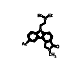 CCN(CC)CCn1c2ccc(C(C)=O)cc2c2c3c(ccc21)C(=O)N(C)C3